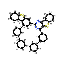 c1ccc(-c2cccc(-c3nc(-c4cc(-c5cccc(-c6ccccc6)c5)c5c(c4)sc4ccccc45)nc4c3sc3ccccc34)c2)cc1